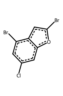 Clc1cc(Br)c2cc(Br)oc2c1